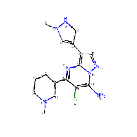 CN1CCCC(c2nc3c(C4=CN(C)NC4)cnn3c(N)c2Cl)C1